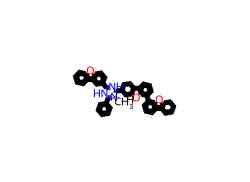 CN1C(c2ccccc2)NC(c2ccc3oc4ccccc4c3c2)NC1C1CCC2c3cccc(-c4cccc5c6c(oc45)CCC=C6)c3O[C@@H]2C1